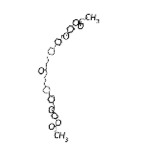 CCCC(=O)Oc1ccc(OCc2ccc(C3CCC(CCCCC(=O)CCCC[C@H]4CC[C@H](c5ccc(COc6ccc(OC(=O)CCC)cc6)cc5)CC4)CC3)cc2)cc1